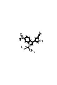 CC(C)n1cc(-c2cc(C#N)[nH]n2)c2ccc([N+](=O)[O-])cc21